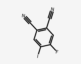 N#Cc1cc(F)c(I)cc1C#N